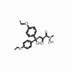 CCOc1ccc(C(O)(CC(=O)C(=O)N(C)O)c2ccc(OCC)cc2)cc1